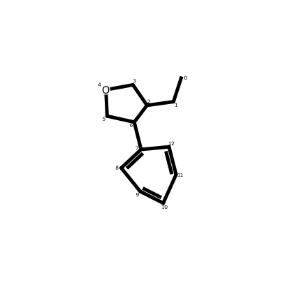 CCC1COCC1c1ccccc1